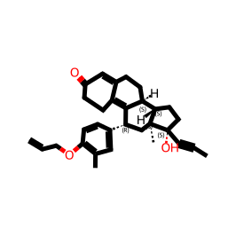 C=CCOc1ccc([C@H]2C[C@@]3(C)[C@@H](CC[C@@]3(O)C#CC)[C@@H]3CCC4=CC(=O)CCC4=C32)cc1C